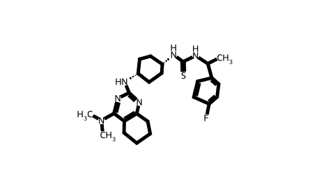 CC(NC(=S)N[C@H]1CC[C@@H](Nc2nc3c(c(N(C)C)n2)CCCC3)CC1)c1ccc(F)cc1